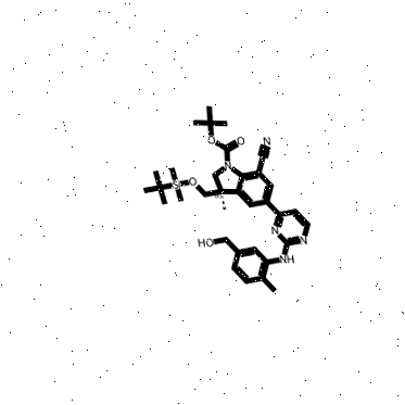 Cc1ccc(CO)cc1Nc1nccc(-c2cc(C#N)c3c(c2)[C@@](C)(CO[Si](C)(C)C(C)(C)C)CN3C(=O)OC(C)(C)C)n1